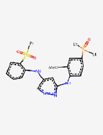 CCP(=O)(CC)c1ccc(Nc2cc(Nc3ccccc3S(=O)(=O)C(C)C)cnn2)c(OC)c1